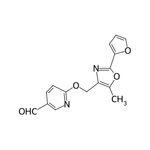 Cc1oc(-c2ccco2)nc1COc1ccc(C=O)cn1